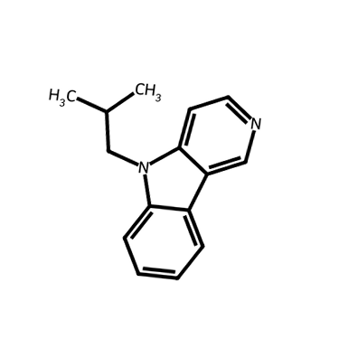 CC(C)Cn1c2ccccc2c2cnccc21